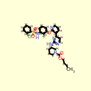 CCCCOC(=O)N1CCC[C@H](Nc2nccc(-c3cccnc3Oc3cccc(NS(=O)(=O)c4ccccc4Cl)c3F)n2)C1